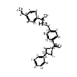 O=Cc1ccc(C(=O)NCc2ccc(C(=O)N3CC(c4ccccc4)C3)cc2)cc1